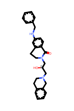 O=C1c2ccc(NCc3ccccc3)cc2CCN1C[C@H](O)CN1CCc2ccccc2C1